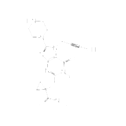 CC#CCn1c(N2CCNCC2)nc2nc(OC3(C(N)=O)CC3)n(C)c(=O)c21